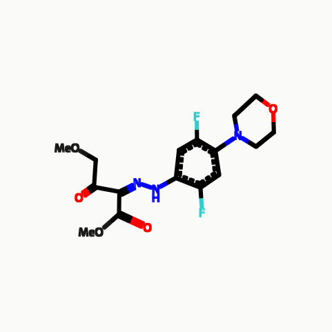 COCC(=O)/C(=N/Nc1cc(F)c(N2CCOCC2)cc1F)C(=O)OC